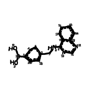 OB(O)c1ccc(CNc2ncnc3ccccc23)cc1